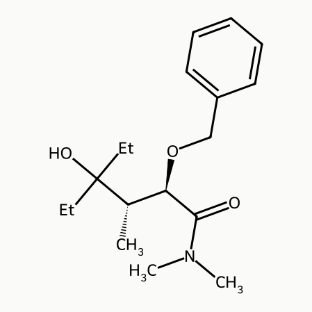 CCC(O)(CC)[C@@H](C)[C@@H](OCc1ccccc1)C(=O)N(C)C